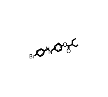 CCC(CC)C(=O)Oc1ccc(N=Nc2ccc(Br)cc2)cc1